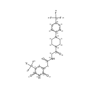 O=C(Cn1cc(C(F)(F)F)c(=O)[nH]c1=O)NCC(=O)N1CCN(c2ncc(C(F)(F)F)cn2)CC1